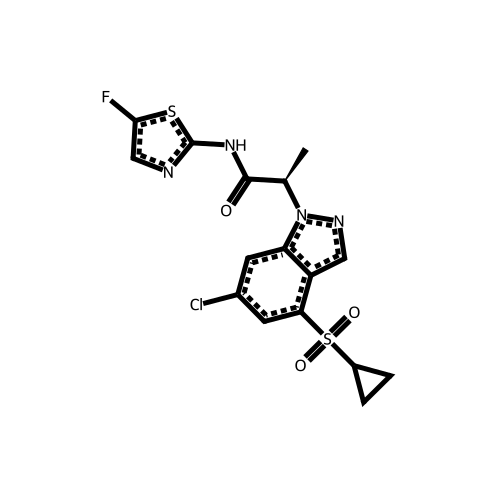 C[C@H](C(=O)Nc1ncc(F)s1)n1ncc2c(S(=O)(=O)C3CC3)cc(Cl)cc21